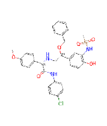 COc1ccc([C@H](NC[C@H](OCc2ccccc2)c2ccc(O)c(NS(C)(=O)=O)c2)C(=O)Nc2ccc(Cl)cc2)cc1